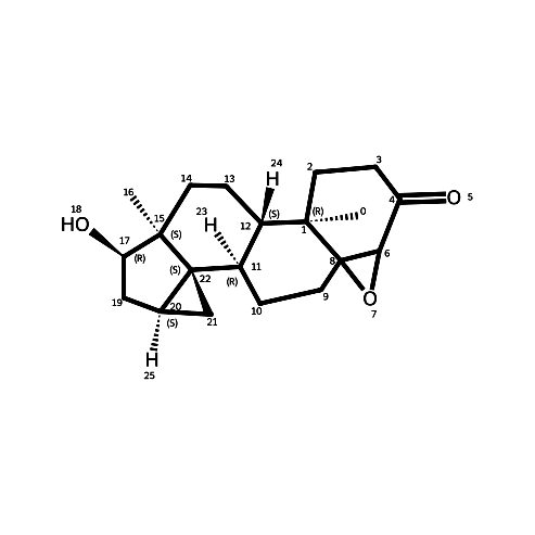 C[C@]12CCC(=O)C3OC31CC[C@@H]1[C@@H]2CC[C@]2(C)[C@H](O)C[C@@H]3C[C@]312